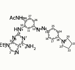 CCn1cnc2c(N)nc(Nc3cc(/N=N/c4ccc(N5CCCC5)cc4)ccc3NC(C)=O)nc21